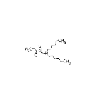 C=CC(=O)NCN(CCCCCC)CCCCCC